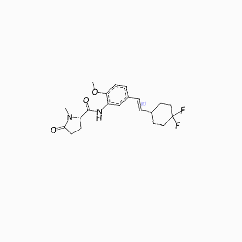 COc1ccc(/C=C/C2CCC(F)(F)CC2)cc1NC(=O)C1CCC(=O)N1C